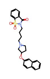 O=C1c2ccccc2S(=O)(=O)N1CCCCN1CCC(Oc2ccc3ccccc3c2)C1